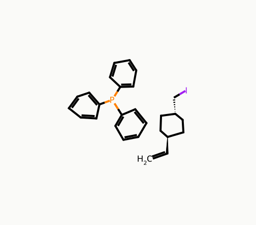 C=C[C@H]1CC[C@H](CI)CC1.c1ccc(P(c2ccccc2)c2ccccc2)cc1